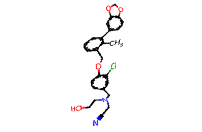 Cc1c(COc2ccc(CN(CC#N)CCO)cc2Cl)cccc1-c1ccc2c(c1)OCO2